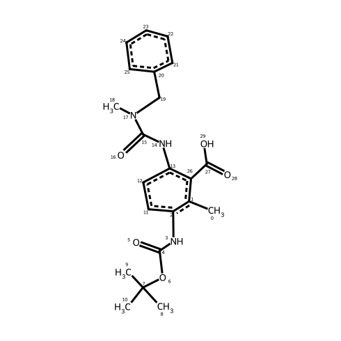 Cc1c(NC(=O)OC(C)(C)C)ccc(NC(=O)N(C)Cc2ccccc2)c1C(=O)O